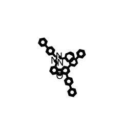 C1#CCC(c2nc(-c3ccc(-c4ccccc4)cc3)nc(-c3cccc4oc5c(-c6ccc(-c7ccccc7)cc6)cc(C6=CCC(c7ccccc7)C=C6)cc5c34)n2)=CC=C1